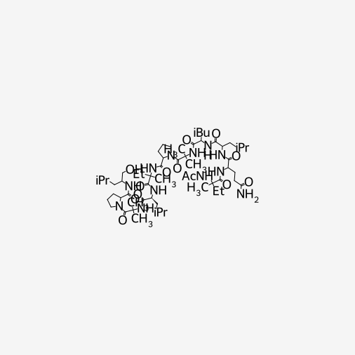 CCC(C)C(NC(=O)C(CC(C)C)NC(=O)C(CCC(N)=O)NC(=O)C(C)(CC)NC(C)=O)C(=O)NC(C)(C)C(=O)N1CCCC1C(=O)NC(C)(CC)C(=O)N[C@@H](CC(C)C)C(=O)NC(C)(C)C(=O)N1CCCC1C(=O)NC(CO)CC(C)C